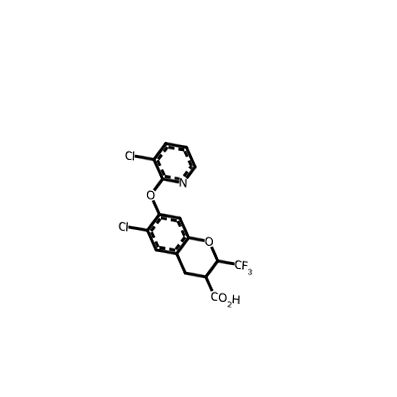 O=C(O)C1Cc2cc(Cl)c(Oc3ncccc3Cl)cc2OC1C(F)(F)F